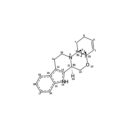 C1=C[C@@]23CCC[C@]2(CC1)N1CCc2c([nH]c4ccccc24)[C@@H]1CO3